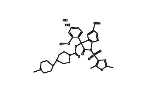 CCCOc1ccccc1C1(OC(=O)N2CCN(C3CCN(C)CC3)CC2)C(=O)N(S(=O)(=O)c2cc(C)sc2C)c2ccc(OC)cc21.Cl.Cl